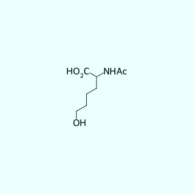 CC(=O)NC(CCCCO)C(=O)O